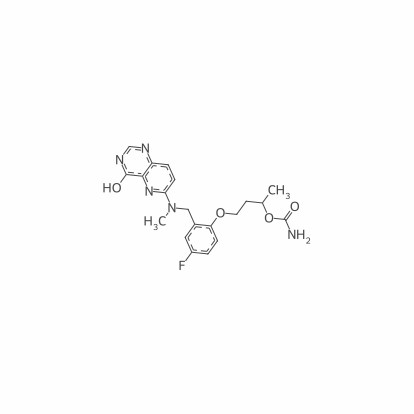 CC(CCOc1ccc(F)cc1CN(C)c1ccc2ncnc(O)c2n1)OC(N)=O